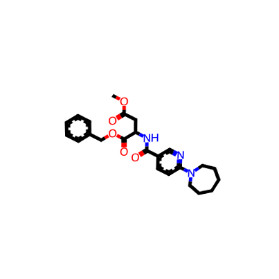 COC(=O)CC(NC(=O)c1ccc(N2CCCCCC2)nc1)C(=O)OCc1ccccc1